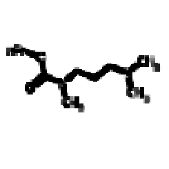 CCCOC(=O)N(C)CCCN(C)C